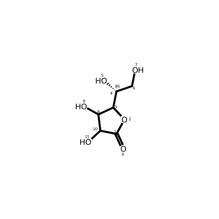 O=C1OC([C@H](O)CO)C(O)C1O